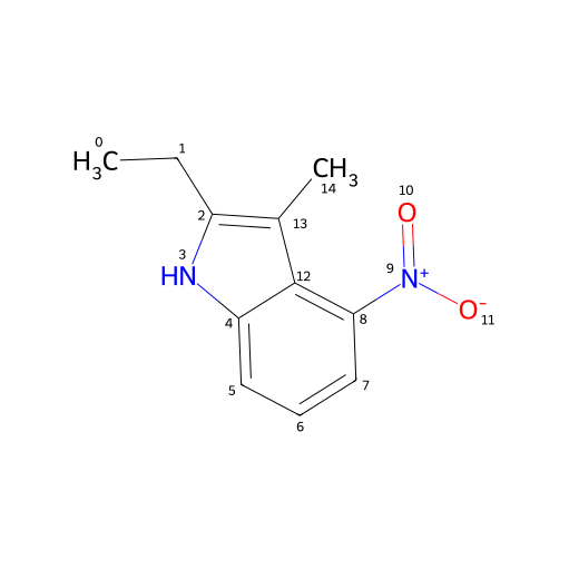 CCc1[nH]c2cccc([N+](=O)[O-])c2c1C